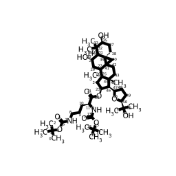 CC(C)(C)OC(=O)NCCC[C@H](NC(=O)OC(C)(C)C)C(=O)O[C@H]1C[C@@]2(C)C3C[C@H](O)[C@H]4C(C)(C)[C@@H](O)CC[C@@]45CC35CC[C@]2(C)[C@H]1C1CC[C@@H](C(C)(C)O)O1